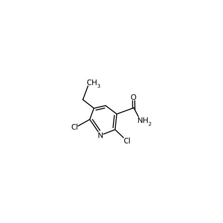 CCc1cc(C(N)=O)c(Cl)nc1Cl